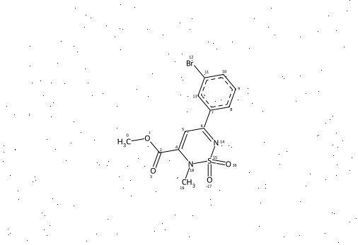 COC(=O)C1=CC(c2cccc(Br)c2)=NS(=O)(=O)N1C